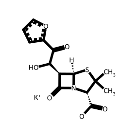 CC1(C)S[C@@H]2[C@H](C(O)C(=O)c3ccco3)C(=O)N2[C@H]1C(=O)[O-].[K+]